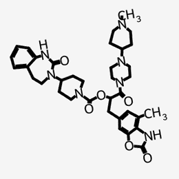 Cc1cc(CC(OC(=O)N2CCC(N3CCc4ccccc4NC3=O)CC2)C(=O)N2CCN(C3CCN(C)CC3)CC2)cc2oc(=O)[nH]c12